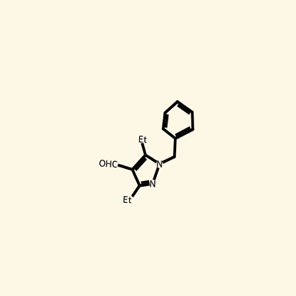 CCc1nn(Cc2ccccc2)c(CC)c1C=O